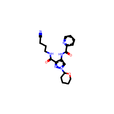 N#CCCCNC(=O)c1nn(C2CCCCO2)cc1NC(=O)c1ccccn1